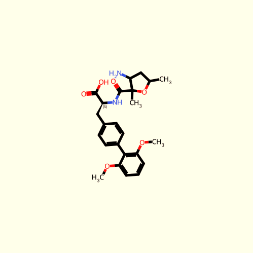 COc1cccc(OC)c1-c1ccc(C[C@H](NC(=O)C2(C)OC(C)CC2N)C(=O)O)cc1